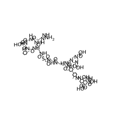 Cc1cc(-c2ccc(NC(=O)[C@@H](CCCCNC(=O)CCN3C(=O)CC(SCC(=O)NCCCC[C@H]4NC(=O)[C@H](Cc5ccccc5)NC(=O)[C@H](CC(=O)O)NC(=O)CNC(=O)[C@H](CCCNC(=N)N)NC4=O)C3=O)NC(=O)CN3CCN(CC(=O)O)CCN(CC(=O)O)CC3)c(C)c2)ccc1/N=N/c1ccc2c(S(=O)(=O)O)cc(S(=O)(=O)O)c(N)c2c1O